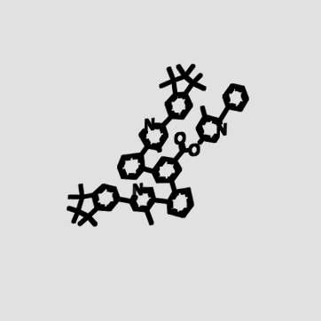 Cc1cc(-c2ccc3c(c2)C(C)(C)C(C)(C)C3(C)C)ncc1-c1ccccc1-c1cc(C(=O)Oc2cnc(-c3ccccc3)c(C)c2)cc(-c2ccccc2-c2cnc(-c3ccc4c(c3)C(C)(C)C(C)(C)C4(C)C)cc2C)c1